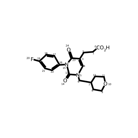 O=C(O)CCc1cn(CC2CCOCC2)c(=O)n(-c2ccc(F)cc2)c1=O